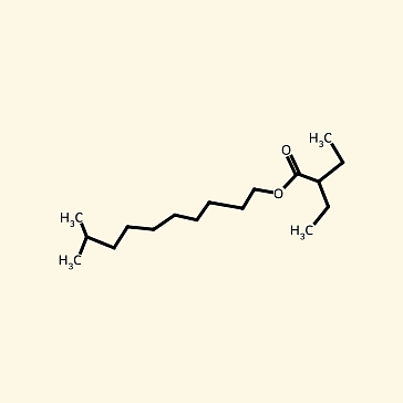 CCC(CC)C(=O)OCCCCCCCCC(C)C